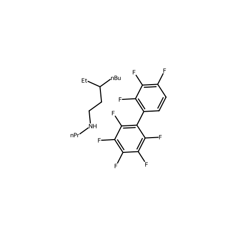 CCCCC(CC)CCNCCC.Fc1ccc(-c2c(F)c(F)c(F)c(F)c2F)c(F)c1F